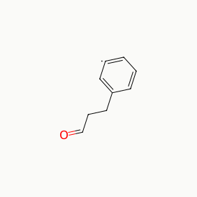 O=CCCc1c[c]ccc1